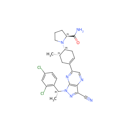 C[C@H](c1ccc(Cl)cc1Cl)n1nc(C#N)c2ncc(C3=CC[C@@H](N4CCC[C@H]4C(N)=O)[C@@H](C)C3)nc21